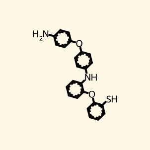 Nc1ccc(Oc2ccc(Nc3ccccc3Oc3ccccc3S)cc2)cc1